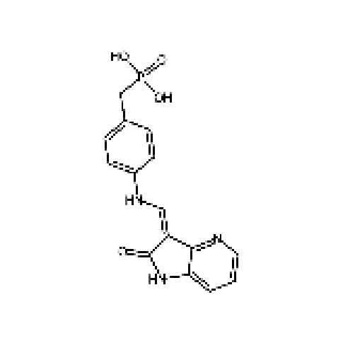 O=C1Nc2cccnc2C1=CNc1ccc(CP(=O)(O)O)cc1